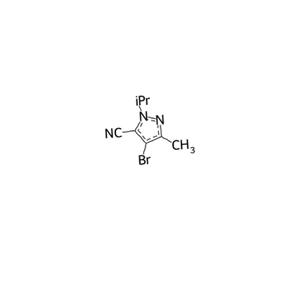 Cc1nn(C(C)C)c(C#N)c1Br